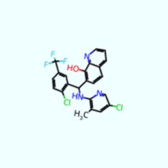 Cc1cc(Cl)cnc1NC(c1cc(C(F)(F)F)ccc1Cl)c1ccc2cccnc2c1O